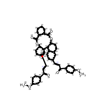 COc1ccc(C(=O)/C=C/c2ccc3c(ccc4oc(=O)c5ccccc5c(=O)oc5ccc6cc(/C=C/C(=O)c7ccc(OC)cc7)ccc6c5c43)c2)cc1